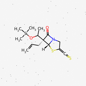 C=CC[C@]1(C(C)O[Si](C)(C)C)C(=O)N2CC(=C=S)S[C@@H]21